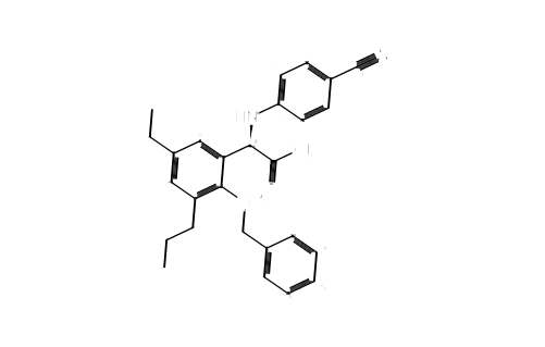 CCCc1cc(CC)cc([C@@H](Nc2ccc(C#N)cc2)C(=O)O)c1OCc1ccccc1